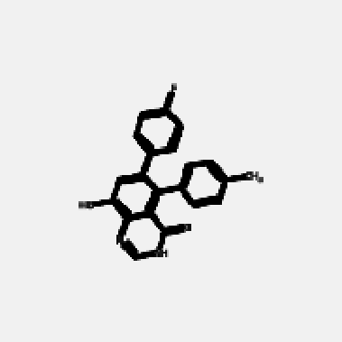 Cc1ccc(-c2c(-c3ccc(F)cc3)cc(O)c3nc[nH]c(=O)c23)cc1